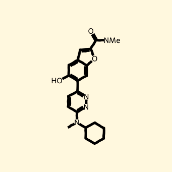 CNC(=O)c1cc2cc(O)c(-c3ccc(N(C)C4CCCCC4)nn3)cc2o1